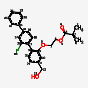 C=C(C)C(=O)OCCOc1cc(CO)ccc1-c1ccc(-c2ccccc2)cc1F